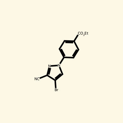 CCOC(=O)c1ccc(-n2cc(Br)c(C#N)n2)cc1